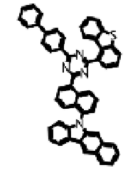 c1ccc(-c2ccc(-c3nc(-c4cccc5c(-n6c7ccccc7c7cc8ccccc8cc76)cccc45)nc(-c4cccc5sc6ccccc6c45)n3)cc2)cc1